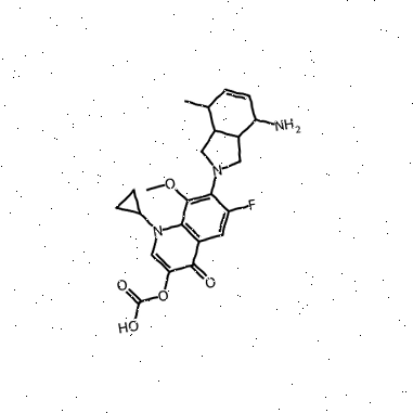 COc1c(N2CC3C(C)C=CC(N)C3C2)c(F)cc2c(=O)c(OC(=O)O)cn(C3CC3)c12